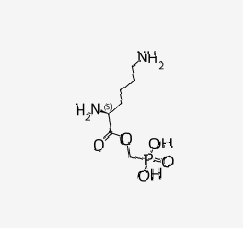 NCCCC[C@H](N)C(=O)OCP(=O)(O)O